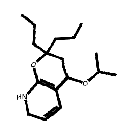 CCCC1(CCC)CC(OC(C)C)C2=C(NCC=C2)O1